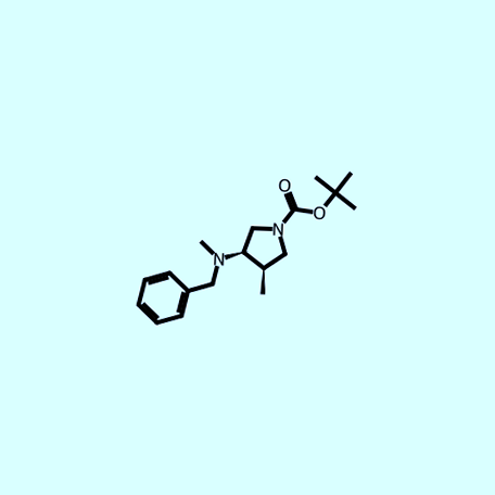 C[C@@H]1CN(C(=O)OC(C)(C)C)C[C@@H]1N(C)Cc1ccccc1